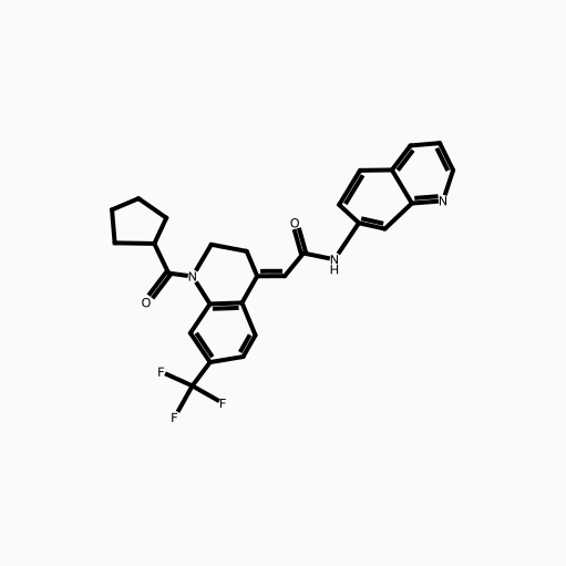 O=C(C=C1CCN(C(=O)C2CCCC2)c2cc(C(F)(F)F)ccc21)Nc1ccc2cccnc2c1